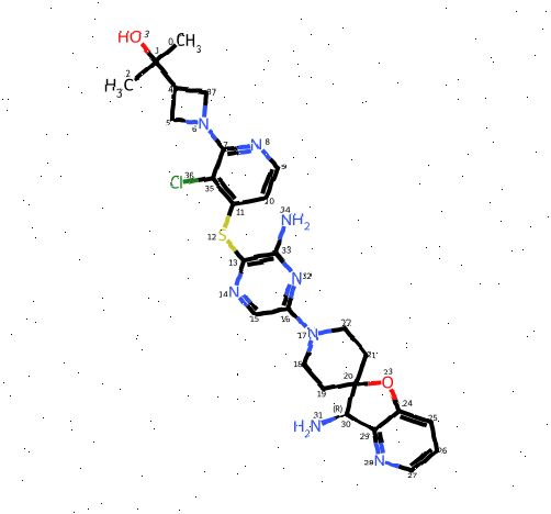 CC(C)(O)C1CN(c2nccc(Sc3ncc(N4CCC5(CC4)Oc4cccnc4[C@H]5N)nc3N)c2Cl)C1